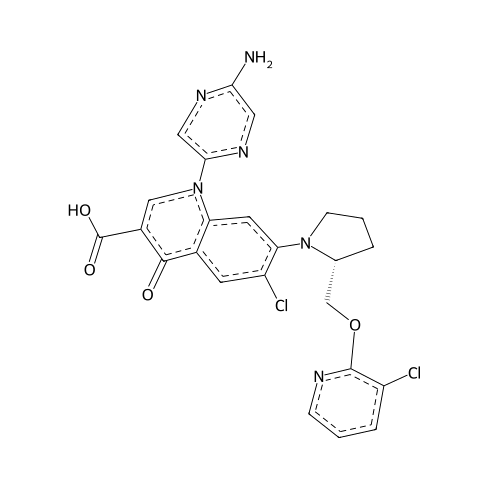 Nc1cnc(-n2cc(C(=O)O)c(=O)c3cc(Cl)c(N4CCC[C@@H]4COc4ncccc4Cl)cc32)cn1